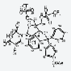 COc1ccc(C(O[C@H]2[C@H](Cl)[C@H](n3cc(F)c(=O)[nH]c3=O)OC2(COS(=O)(=O)C(F)(F)F)COS(=O)(=O)C(F)(F)F)(c2ccccc2)c2ccccc2)cc1